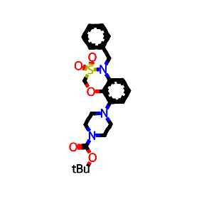 CC(C)(C)OC(=O)N1CCN(c2cccc3c2OCS(=O)(=O)N3Cc2ccccc2)CC1